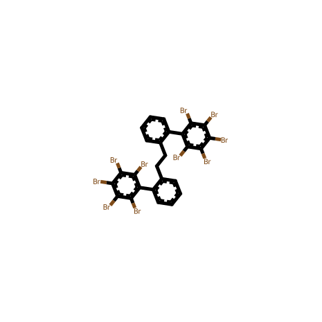 Brc1c(Br)c(Br)c(-c2ccccc2CCc2ccccc2-c2c(Br)c(Br)c(Br)c(Br)c2Br)c(Br)c1Br